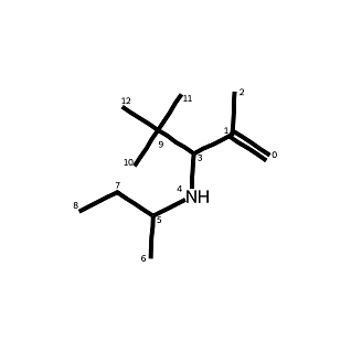 C=C(C)C(NC(C)CC)C(C)(C)C